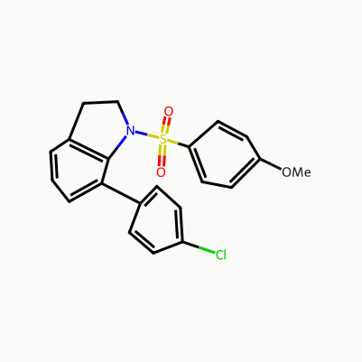 COc1ccc(S(=O)(=O)N2CCc3cccc(-c4ccc(Cl)cc4)c32)cc1